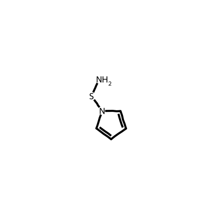 NSn1cccc1